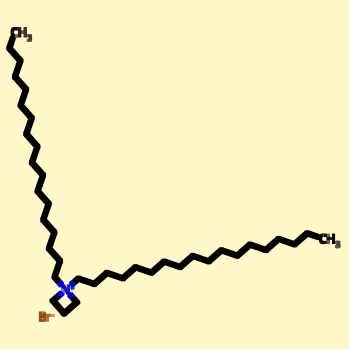 CCCCCCCCCCCCCCCCCC[N+]1(CCCCCCCCCCCCCCCCCC)CCC1.[Br-]